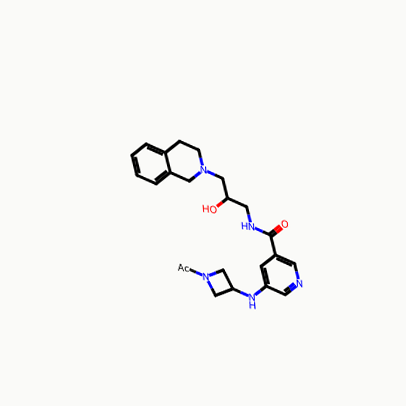 CC(=O)N1CC(Nc2cncc(C(=O)NCC(O)CN3CCc4ccccc4C3)c2)C1